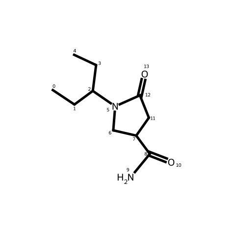 CCC(CC)N1CC(C(N)=O)CC1=O